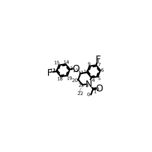 CC(=O)N1c2ccc(F)cc2[C@@H](Oc2ccc(F)cc2)C[C@H]1C